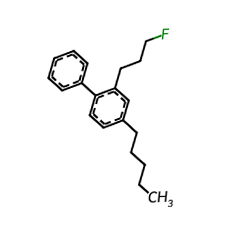 CCCCCc1ccc(-c2ccccc2)c(CCCF)c1